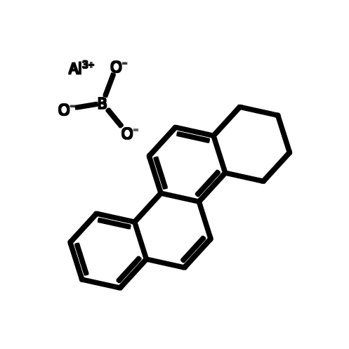 [Al+3].[O-]B([O-])[O-].c1ccc2c(c1)ccc1c3c(ccc12)CCCC3